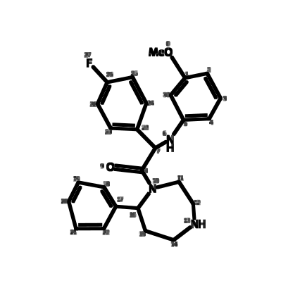 COc1cccc(NC(C(=O)N2CCNCCC2c2ccccc2)c2ccc(F)cc2)c1